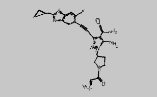 C=CC(=O)N1CCC(n2nc(C#Cc3cc4nc(C5CC5)sc4cc3F)c(C(N)=O)c2N)C1